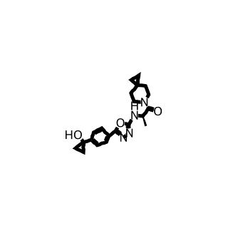 C[C@@H](Nc1nnc(-c2ccc(C3(O)CC3)cc2)o1)C(=O)N1CCC2(CC1)CC2